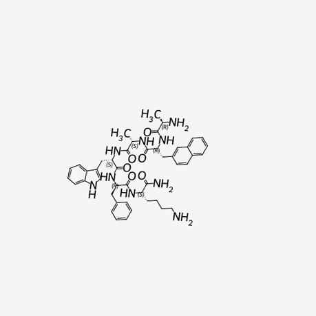 C[C@H](NC(=O)[C@@H](Cc1ccc2ccccc2c1)NC(=O)[C@@H](C)N)C(=O)N[C@@H](Cc1c[nH]c2ccccc12)C(=O)N[C@H](Cc1ccccc1)C(=O)N[C@@H](CCCCN)C(N)=O